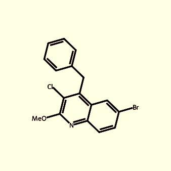 COc1nc2ccc(Br)cc2c(Cc2ccccc2)c1Cl